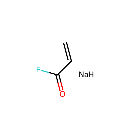 C=CC(=O)F.[NaH]